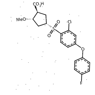 CO[C@H]1C[C@@H](S(=O)(=O)c2ccc(Oc3ccc(F)cc3)cc2Cl)C[C@@H]1C(=O)O